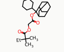 CCC(C)(C)C(=O)OCC(=O)OC1(C2CCCCC2)C2CC3CC(C2)CC1C3